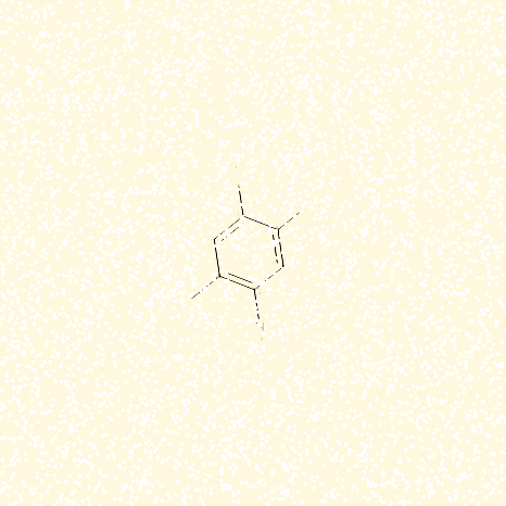 Cc1cc(C=O)c(Cl)cc1[N+](=O)[O-]